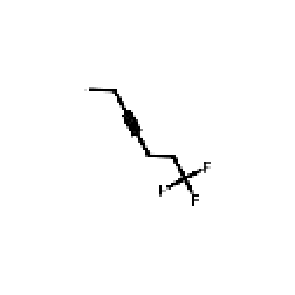 [CH2]CC#CCCC(F)(F)F